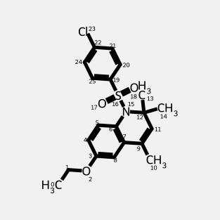 CCOc1ccc2c(c1)C(C)=CC(C)(C)N2S(=O)(=O)c1ccc(Cl)cc1